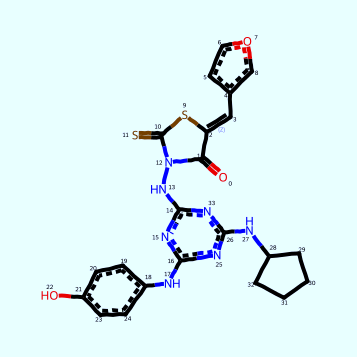 O=C1/C(=C/c2ccoc2)SC(=S)N1Nc1nc(Nc2ccc(O)cc2)nc(NC2CCCC2)n1